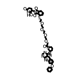 Nc1ncnc2c1c(-c1ccc(Oc3ccccc3)cc1)nn2[C@@H]1CCCN(C(=O)COCCOCCOCCOCCSc2cccc3c2C(=O)N(C2CCC(=O)NC2=O)C3=O)C1